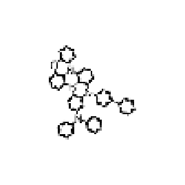 c1ccc(-c2ccc(N3c4cc(N(c5ccccc5)c5ccccc5)ccc4B4c5cccc6c5N(c5ccccc5O6)c5cccc3c54)cc2)cc1